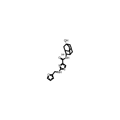 O=C(N[C@H]1C2CC3CC1C[C@](O)(C3)C2)c1csc(NCc2ccco2)n1